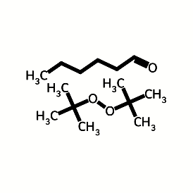 CC(C)(C)OOC(C)(C)C.CCCCCC=O